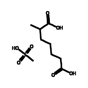 CC(CCCCC(=O)O)C(=O)O.CS(=O)(=O)O